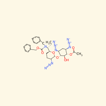 CC[C@H]([C@@H]1CCC(N=[N+]=[N-])[C@@H](O[C@H]2[C@H](O)[C@@H](OC(C)=O)[C@H](N=[N+]=[N-])C[C@@H]2N=[N+]=[N-])O1)N(Cc1ccccc1)C(=O)OCc1ccccc1